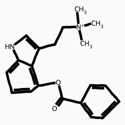 C[N+](C)(C)CCc1c[nH]c2cccc(OC(=O)c3ccccc3)c12